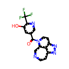 O=C(c1cnc(C(F)(F)F)c(O)c1)n1ccc2nnc3ccncc1c32